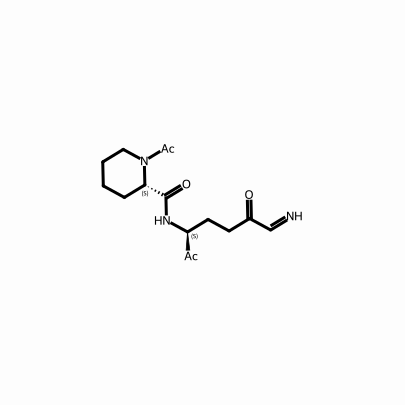 CC(=O)[C@H](CCC(=O)C=N)NC(=O)[C@@H]1CCCCN1C(C)=O